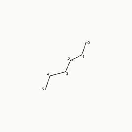 CC[CH]CCC